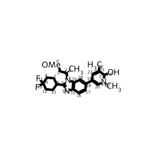 COC[C@H](C)n1c(C2CCC(F)(F)CC2)nc2ccc(C3=CN(C)C(O)C(C)=C3)cc21